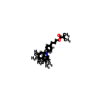 C=C(C)C(=O)OCCCc1ccc(N2C=C(C)C(C)(C)C3=C(CC)C2(C)C=C(C)C3(C)C)cc1